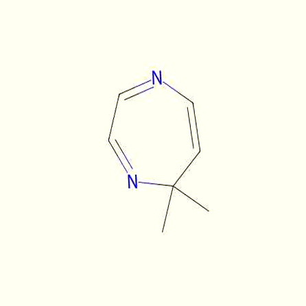 CC1(C)C=CN=CC=N1